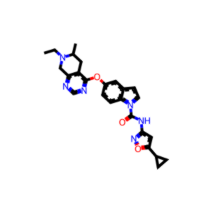 CCN1Cc2ncnc(Oc3ccc4c(ccn4C(=O)Nc4cc(C5CC5)on4)c3)c2CC1C